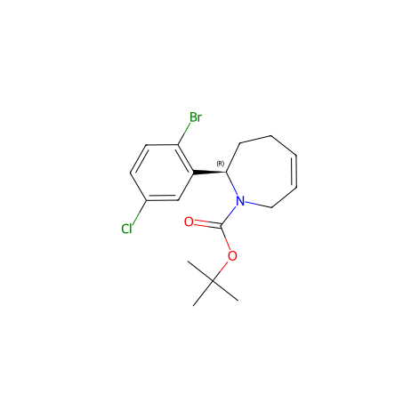 CC(C)(C)OC(=O)N1CC=CCC[C@@H]1c1cc(Cl)ccc1Br